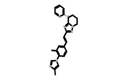 Cc1cn(-c2ccc(/C=C/c3nc4n(n3)CCC[C@H]4c3ccccn3)cc2C)cn1